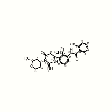 C[C@@H]1C[C@H](N2C(=N)N[C@](C)(c3cccc(NC(=O)c4cnccc4F)c3Cl)CC2=O)CCO1